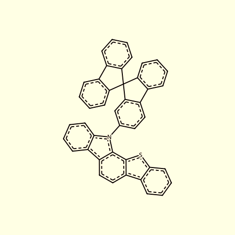 c1ccc2c(c1)-c1ccccc1C21c2ccccc2-c2ccc(-n3c4ccccc4c4ccc5c6ccccc6sc5c43)cc21